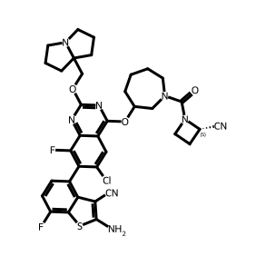 N#Cc1c(N)sc2c(F)ccc(-c3c(Cl)cc4c(OC5CCCCN(C(=O)N6CC[C@H]6C#N)C5)nc(OCC56CCCN5CCC6)nc4c3F)c12